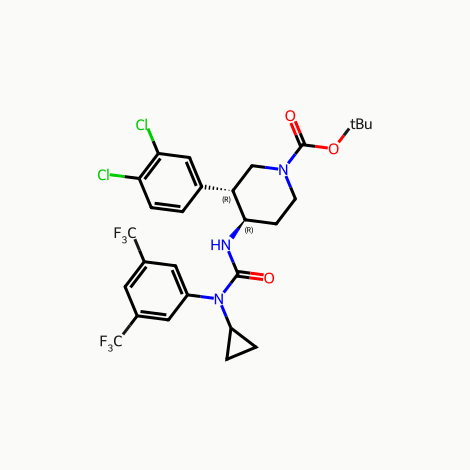 CC(C)(C)OC(=O)N1CC[C@@H](NC(=O)N(c2cc(C(F)(F)F)cc(C(F)(F)F)c2)C2CC2)[C@H](c2ccc(Cl)c(Cl)c2)C1